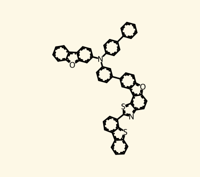 c1ccc(-c2ccc(N(c3cccc(-c4ccc5oc6ccc7nc(-c8cccc9c8sc8ccccc89)sc7c6c5c4)c3)c3ccc4c(c3)oc3ccccc34)cc2)cc1